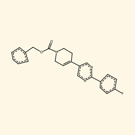 O=C(OCc1ccccc1)N1CC=C(c2cnc(-c3ccc(F)cc3)nc2)CC1